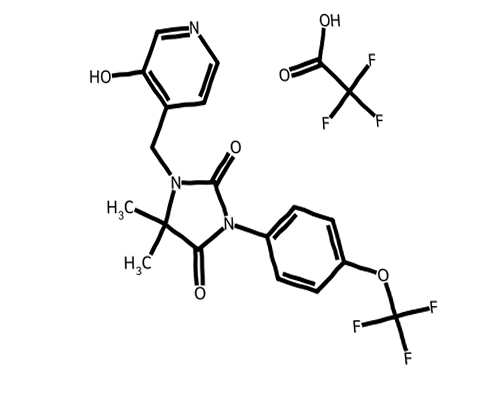 CC1(C)C(=O)N(c2ccc(OC(F)(F)F)cc2)C(=O)N1Cc1ccncc1O.O=C(O)C(F)(F)F